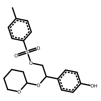 Cc1ccc(S(=O)(=O)OCC(OC2CCCCO2)c2ccc(O)cc2)cc1